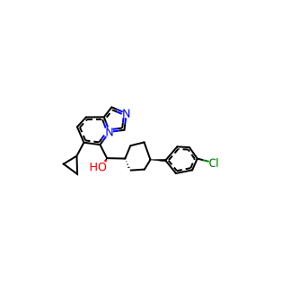 O[C@@H](c1c(C2CC2)ccc2cncn12)[C@H]1CC[C@H](c2ccc(Cl)cc2)CC1